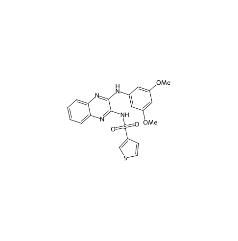 COc1cc(Nc2nc3ccccc3nc2NS(=O)(=O)c2ccsc2)cc(OC)c1